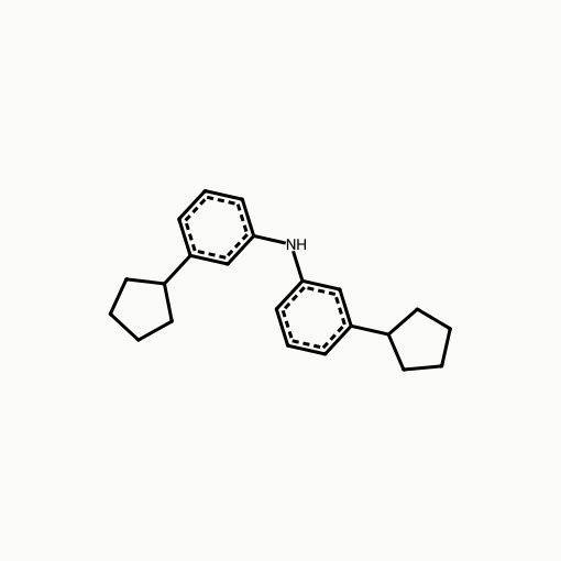 c1cc(Nc2cccc(C3CCCC3)c2)cc(C2CCCC2)c1